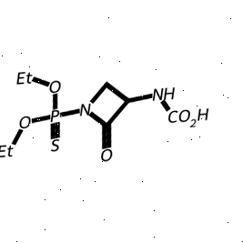 CCOP(=S)(OCC)N1CC(NC(=O)O)C1=O